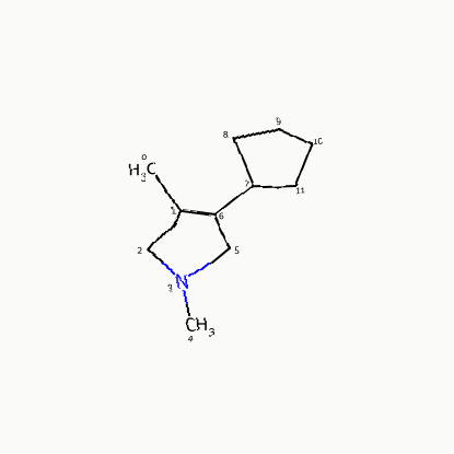 CC1CN(C)CC1C1CCCC1